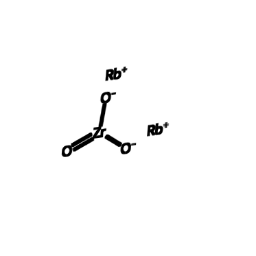 [O]=[Zr]([O-])[O-].[Rb+].[Rb+]